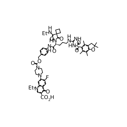 CCNC(=O)C1(C(=O)N[C@@H](CCCNC(=N)NS(=O)(=O)c2c(C)c(C)c3c(c2C)CC(C)(C)O3)C(=O)Nc2ccc(COC(=O)N3CCN(c4cc5c(cc4F)c(=O)c(C(=O)O)cn5CC)CC3)cc2)CCC1